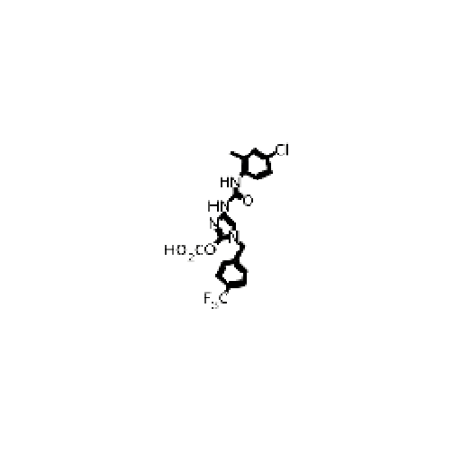 Cc1cc(Cl)ccc1NC(=O)Nc1cn(Cc2ccc(C(F)(F)F)cc2)c(OC(=O)O)n1